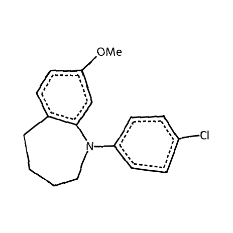 COc1ccc2c(c1)N(c1ccc(Cl)cc1)CCCC2